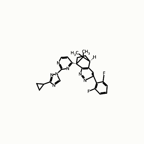 CC1(C)[C@H]2CC[C@]1(c1ccnc(-n3cnc(C4CC4)n3)n1)c1nnc(-c3c(F)cccc3F)cc12